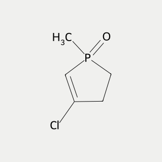 CP1(=O)C=C(Cl)CC1